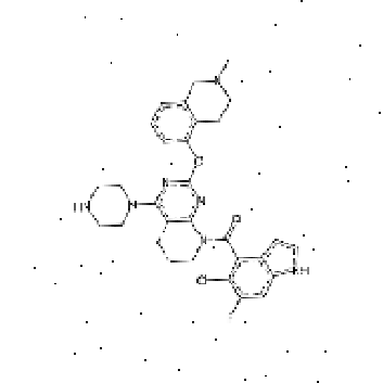 CN1CCc2c(cccc2Oc2nc(N3CCNCC3)c3c(n2)N(C(=O)c2c(Cl)c(F)cc4[nH]ccc24)CCC3)C1